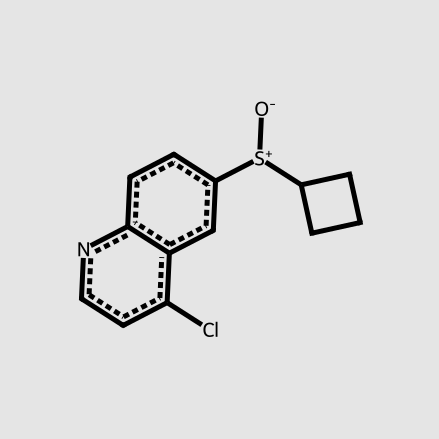 [O-][S+](c1ccc2nccc(Cl)c2c1)C1CCC1